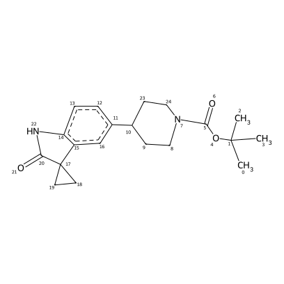 CC(C)(C)OC(=O)N1CCC(c2ccc3c(c2)C2(CC2)C(=O)N3)CC1